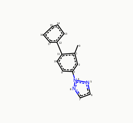 Cc1cc(-n2nccn2)ccc1-c1ccccc1